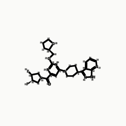 O=C(c1cc(N2CCC(c3n[nH]c4ncccc34)CC2)nc(OC[C@H]2CCCO2)n1)N1C[C@H](F)[C@@H](F)C1